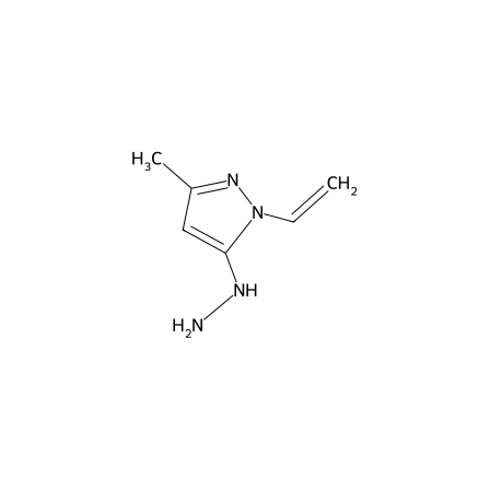 C=Cn1nc(C)cc1NN